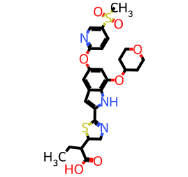 CCC(C(=O)O)C1CN=C(c2cc3cc(Oc4ccc(S(C)(=O)=O)cn4)cc(OC4CCOCC4)c3[nH]2)S1